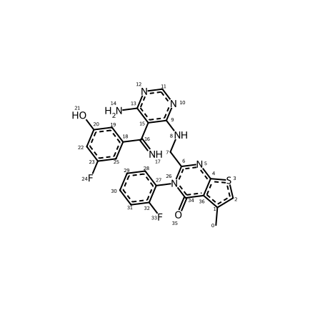 Cc1csc2nc(CNc3ncnc(N)c3C(=N)c3cc(O)cc(F)c3)n(-c3ccccc3F)c(=O)c12